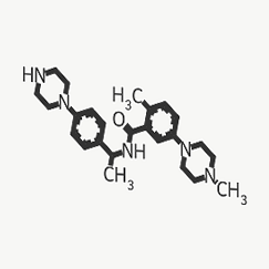 Cc1ccc(N2CCN(C)CC2)cc1C(=O)NC(C)c1ccc(N2CCNCC2)cc1